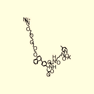 COC(=O)C[C@H](NC(=O)CNC(=O)CCCN(C(=O)OC(C)(C)C)c1cc(C)ccn1)c1ccc(-c2ccc(OCCOCCOCCOCCOCCN=[N+]=[N-])c3ccccc23)cc1